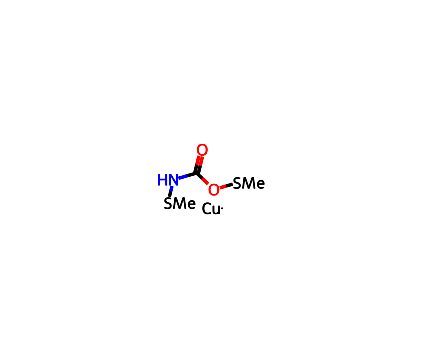 CSNC(=O)OSC.[Cu]